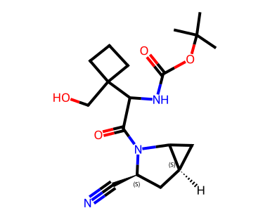 CC(C)(C)OC(=O)NC(C(=O)N1C2C[C@H]2C[C@H]1C#N)C1(CO)CCC1